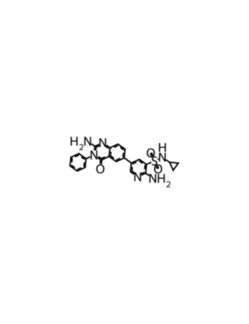 Nc1ncc(-c2ccc3nc(N)n(-c4ccccc4)c(=O)c3c2)cc1S(=O)(=O)NC1CC1